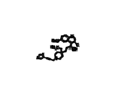 COc1ccc2ncc(Cl)c([C@@H](O)CCC3(CC(=O)O)CCN(CC#Cc4cncs4)CC3)c2c1